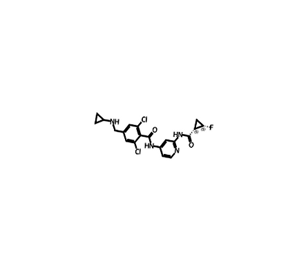 O=C(Nc1ccnc(NC(=O)[C@@H]2C[C@@H]2F)c1)c1c(Cl)cc(CNC2CC2)cc1Cl